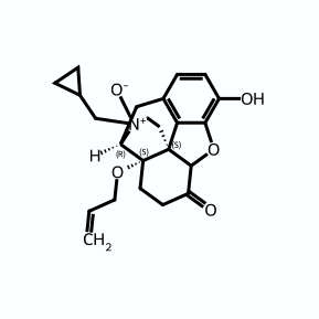 C=CCO[C@@]12CCC(=O)C3Oc4c(O)ccc5c4[C@@]31CC[N+]([O-])(CC1CC1)[C@@H]2C5